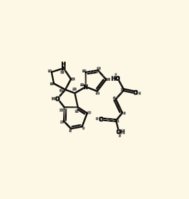 O=C(O)C=CC(=O)O.c1ccc2c(c1)OC1(CCNC1)C2n1cccc1